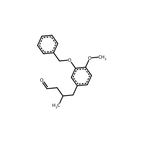 COc1ccc(CC(C)CC=O)cc1OCc1ccccc1